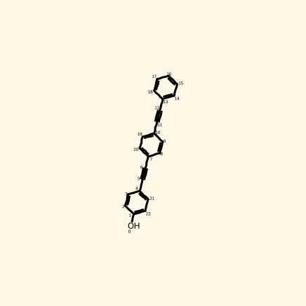 Oc1ccc(C#Cc2ccc(C#Cc3ccccc3)cc2)cc1